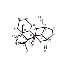 Cc1noc(C)c1[C@H]1C[C@H]2CC[C@@H](C1)N2C(=O)N1CCCCC1